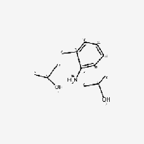 CC(C)O.CC(C)O.Cc1ccccc1N